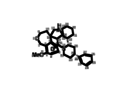 COc1cccc2c1COCC[C@]21CNC[C@H]1C(=O)N1CC[C@@H](c2ccccc2)C[C@H]1C1CCCCC1